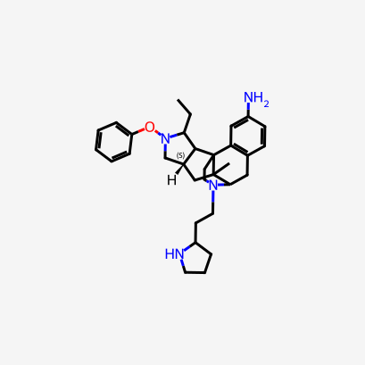 CCC1C2[C@@H](CN1Oc1ccccc1)CC1(C)C3Cc4ccc(N)cc4C21CCN3CCC1CCCN1